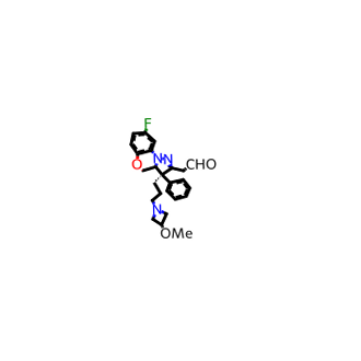 COC1CN(CCC[C@@]2(c3ccccc3)C(CC=O)=NN3c4cc(F)ccc4OCC32)C1